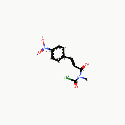 CN(C(=O)Cl)C(=O)/C=C/c1ccc([N+](=O)[O-])cc1